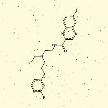 CCN(CCCc1ccnc(F)c1)CCNC(=O)c1cnc2cc(I)ccc2n1